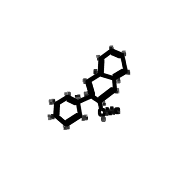 COc1[c]c2ccccc2cc1-c1ccccc1